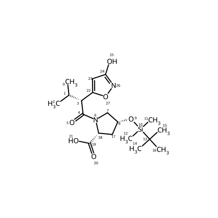 CC(C)[C@@H](C(=O)N1C[C@H](O[Si](C)(C)C(C)(C)C)C[C@@H]1C(=O)O)c1cc(O)no1